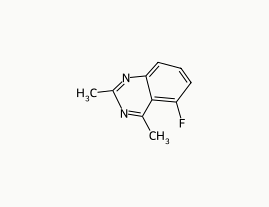 Cc1nc(C)c2c(F)cccc2n1